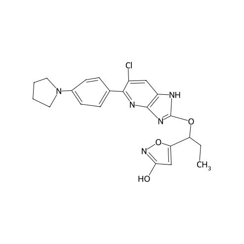 CCC(Oc1nc2nc(-c3ccc(N4CCCC4)cc3)c(Cl)cc2[nH]1)c1cc(O)no1